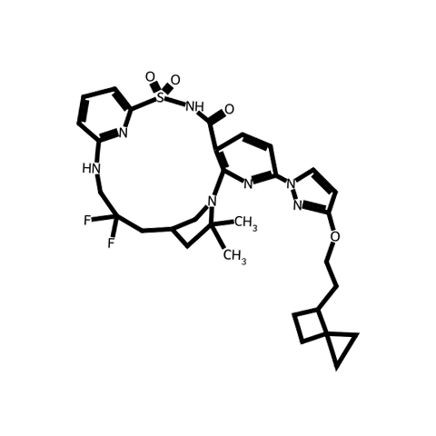 CC1(C)CC2CN1c1nc(-n3ccc(OCCC4CCC45CC5)n3)ccc1C(=O)NS(=O)(=O)c1cccc(n1)NCC(F)(F)C2